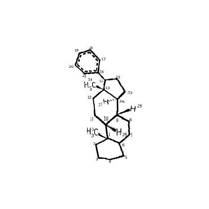 C[C@]12CCCCC1CC[C@@H]1[C@H]2CC[C@]2(C)C(c3ccccc3)CC[C@@H]12